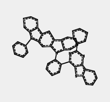 c1ccc(-c2nc(-c3ccccc3-n3c4ccccc4c4cc5c6ccccc6n(-c6ccccc6)c5cc43)c3sc4ccccc4c3n2)cc1